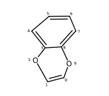 C1=COc2ccccc2O1